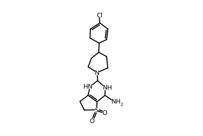 NC1NC(N2CCC(C3C=CC(Cl)=CC3)CC2)NC2=C1S(=O)(=O)CC2